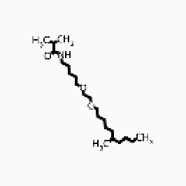 CCCCC(C)CCCCCOCCOCCCCCNC(=O)C(C)C